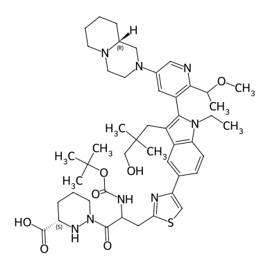 CCn1c(-c2cc(N3CCN4CCCC[C@@H]4C3)cnc2C(C)OC)c(CC(C)(C)CO)c2cc(-c3csc(CC(NC(=O)OC(C)(C)C)C(=O)N4CCC[C@@H](C(=O)O)N4)n3)ccc21